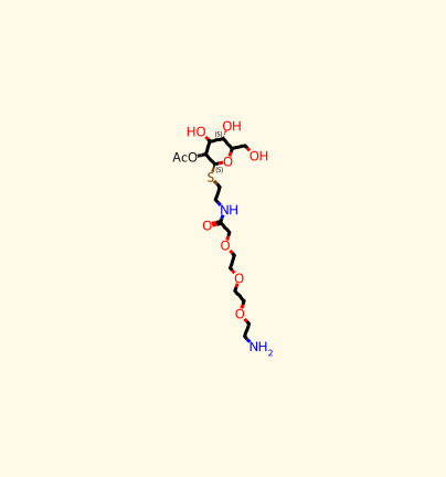 CC(=O)OC1C(O)[C@H](O)C(CO)O[C@H]1SCCNC(=O)COCCOCCOCCN